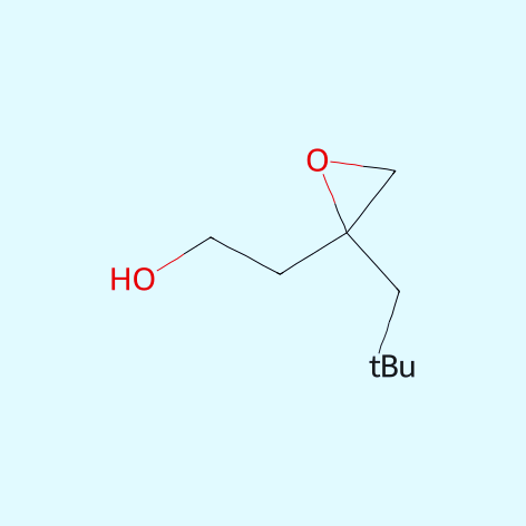 CC(C)(C)CC1(CCO)CO1